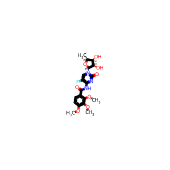 COc1ccc(C(=O)Nc2nc(=O)n([C@@H]3O[C@H](C)[C@@H](O)[C@H]3O)cc2F)c(OC)c1OC